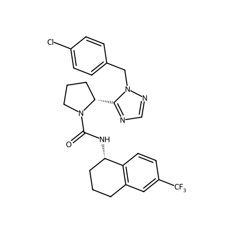 O=C(N[C@H]1CCCc2cc(C(F)(F)F)ccc21)N1CCC[C@@H]1c1ncnn1Cc1ccc(Cl)cc1